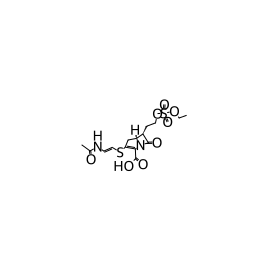 CCOS(=O)(=O)OCC[C@H]1C(=O)N2C(C(=O)O)=C(S/C=C/NC(C)=O)C[C@H]12